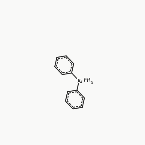 P.c1cc[c]([Al][c]2ccccc2)cc1